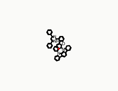 C1=CC(n2c3c(c4ccc5c6ccccc6n(-c6ccccc6)c5c42)C=CCC3)C2Oc3cccc(C4N=C(c5ccccc5)C=C(c5ccccc5)N4)c3C2=C1